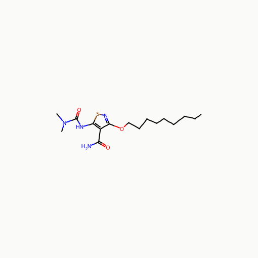 CCCCCCCCCOc1nsc(NC(=O)N(C)C)c1C(N)=O